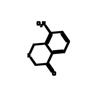 O=C1CSCc2c1cccc2[N+](=O)[O-]